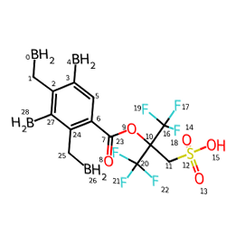 BCc1c(B)cc(C(=O)OC(CS(=O)(=O)O)(C(F)(F)F)C(F)(F)F)c(CB)c1B